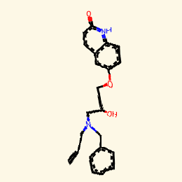 C=CCN(Cc1ccccc1)CC(O)COc1ccc2[nH]c(=O)ccc2c1